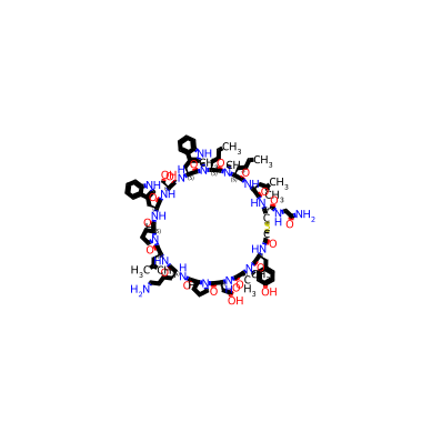 CCCC[C@H]1C(=O)N(C)[C@@H](CCCC)C(=O)N[C@@H](CC(C)C)C(=O)N[C@H](C(=O)NCC(N)=O)CSCC(=O)N[C@@H](Cc2ccc(O)cc2)C(=O)N(C)[C@@H](C)C(=O)N[C@@H](CC(=O)O)C(=O)N2CCC[C@H]2C(=O)N[C@@H](CCCCN)C(=O)N[C@@H](CC(C)C)C(=O)N2CCC[C@H]2C(=O)N[C@@H](Cc2c[nH]c3ccccc23)C(=O)N[C@@H](CO)C(=O)N[C@@H](Cc2c[nH]c3ccccc23)C(=O)N1C